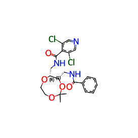 CC1(C)OCCO[C@H](CNC(=O)c2c(Cl)cncc2Cl)[C@H](CNC(=O)c2ccccc2)O1